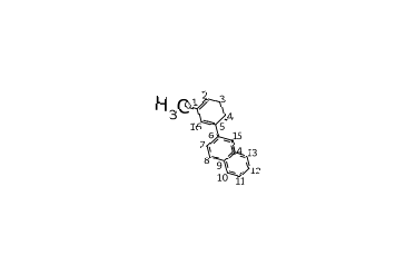 CC1=CC[CH]C(c2ccc3ccccc3c2)=C1